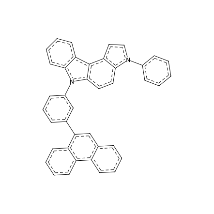 c1ccc(-n2ccc3c4c5ccccc5n(-c5cccc(-c6cc7ccccc7c7ccccc67)c5)c4ccc32)cc1